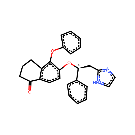 O=C1CCCc2c1ccc(O[C@@H](Cc1ncc[nH]1)c1ccccc1)c2Oc1ccccc1